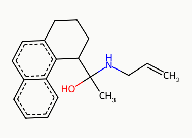 C=CCNC(C)(O)C1CCCc2ccc3ccccc3c21